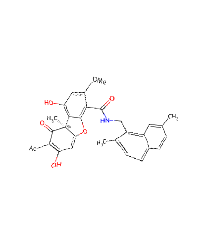 COc1cc(O)c2c(c1C(=O)NCc1c(C)ccc3ccc(C)cc13)OC1=CC(O)=C(C(C)=O)C(=O)[C@]12C